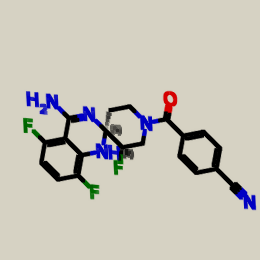 N#Cc1ccc(C(=O)N2CC[C@]3(N=C(N)c4c(F)ccc(F)c4N3)[C@H](F)C2)cc1